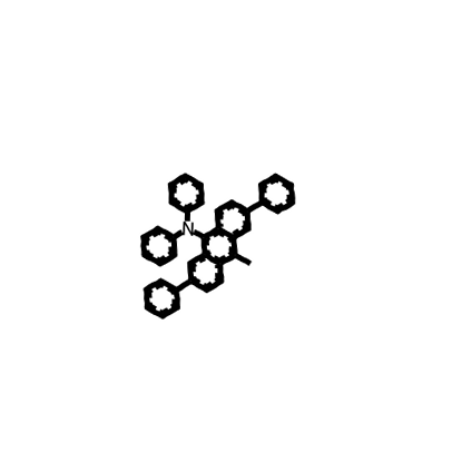 Cc1c2cc(-c3ccccc3)ccc2c(N(c2ccccc2)c2ccccc2)c2cc(-c3ccccc3)ccc12